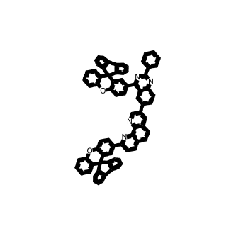 c1ccc(-c2nc(-c3ccc4c(c3)C3(c5ccccc5O4)c4ccccc4-c4ccccc43)c3cc(-c4cnc5c(ccc6ccc(-c7ccc8c(c7)C7(c9ccccc9O8)c8ccccc8-c8ccccc87)nc65)c4)ccc3n2)cc1